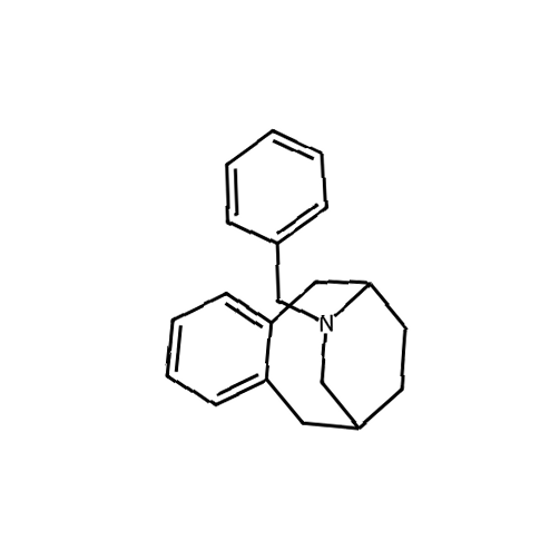 c1ccc(CN2CC3CCC2Cc2ccccc2C3)cc1